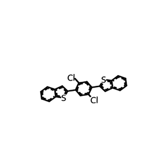 Clc1cc(-c2cc3ccccc3s2)c(Cl)cc1-c1cc2ccccc2s1